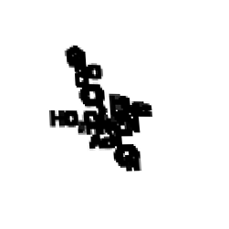 CCN(CC)c1ncc(N(C(C)=O)c2ccncc2)c(N[C@@H](Cc2ccc(OC(=O)N3CCCC3)cc2)C(=O)O)n1